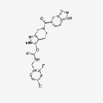 O=C(NCc1ccc(Cl)cc1F)Oc1[nH]nc2c1CCN(C(=O)c1ccc3[nH]nnc3c1)C2